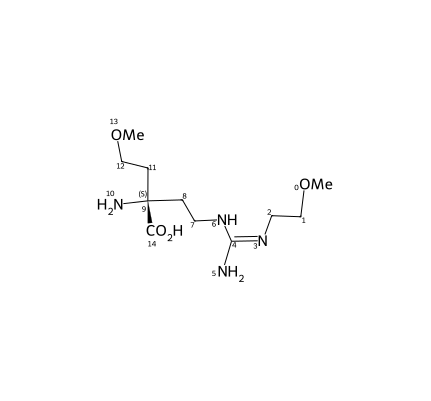 COCCN=C(N)NCC[C@](N)(CCOC)C(=O)O